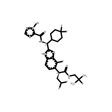 CC(C)n1ncnc1C(=O)N[C@H](c1nc2c(F)c([C@H](CC(F)F)C(=O)NCC(C)(C)F)ccc2[nH]1)C1CCC(F)(F)CC1